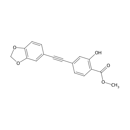 COC(=O)c1ccc(C#Cc2ccc3c(c2)OCO3)cc1O